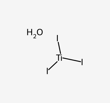 O.[I][Ti]([I])[I]